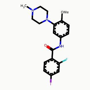 COc1ccc(NC(=O)c2ccc(I)cc2F)cc1N1CCN(C)CC1